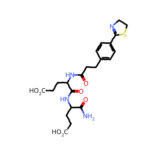 NC(=O)C(CCC(=O)O)NC(=O)C(CCC(=O)O)NC(=O)CCc1ccc(C2=NCCS2)cc1